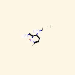 O=C(O)CNC1=CC=C([N+](=O)[O-])N2ONC=C12